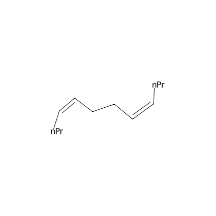 CCC/C=C\CC/C=C\CCC